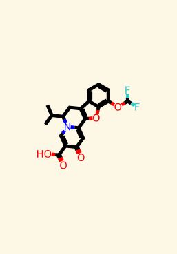 CC(C)C1Cc2c(oc3c(OC(F)F)cccc23)-c2cc(=O)c(C(=O)O)cn21